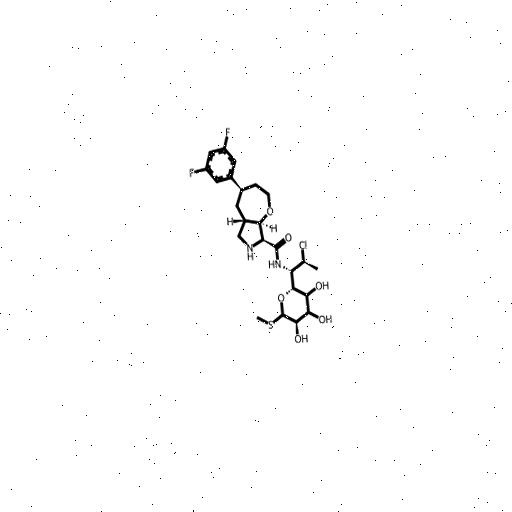 CSC1O[C@H]([C@H](NC(=O)[C@H]2NC[C@@H]3C[C@@H](c4cc(F)cc(F)c4)CCO[C@H]32)[C@H](C)Cl)C(O)C(O)[C@H]1O